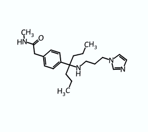 CCCC(CCC)(NCCCn1ccnc1)c1ccc(CC(=O)NC)cc1